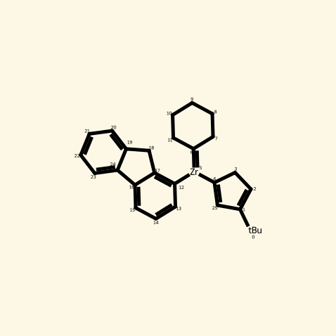 CC(C)(C)C1=CC[C]([Zr](=[C]2CCCCC2)[c]2cccc3c2Cc2ccccc2-3)=C1